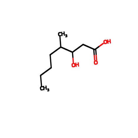 CCCCC(C)C(O)CC(=O)O